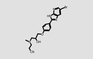 CN(CCC#N)CC(O)COc1ccc(-c2nc3cc(Br)cnc3[nH]2)cc1